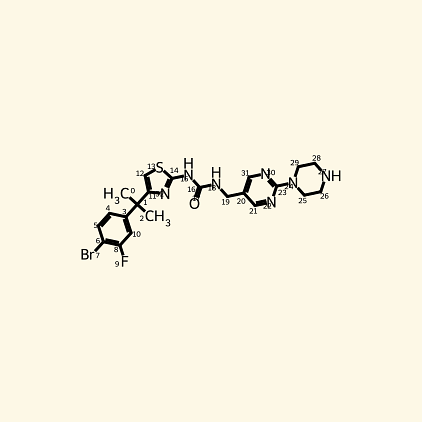 CC(C)(c1ccc(Br)c(F)c1)c1csc(NC(=O)NCc2cnc(N3CCNCC3)nc2)n1